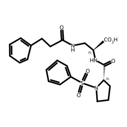 O=C(CCc1ccccc1)NC[C@H](NC(=O)[C@@H]1CCCN1S(=O)(=O)c1ccccc1)C(=O)O